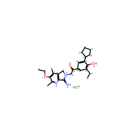 CCOc1c(C)nc2c(c1C)CN(CC(=O)c1cc(CC)c(O)c(C3CCCC3)c1)C2=N.Cl